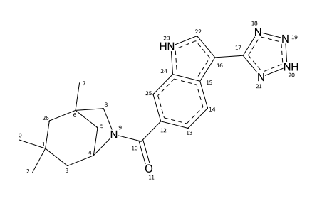 CC1(C)CC2CC(C)(CN2C(=O)c2ccc3c(-c4nn[nH]n4)c[nH]c3c2)C1